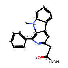 COC(=O)Cc1cc2c3ccccc3n(C)c2c(-c2ccccc2)n1